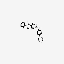 CC1N=C(Nc2ccc(N3CCNCC3)cc2)N=C2NCN(c3c(Cl)cccc3Cl)C(=O)C21